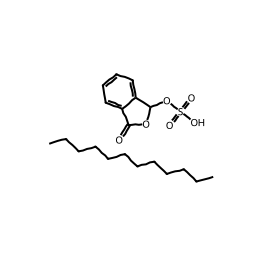 CCCCCCCCCCCC.O=C1OC(OS(=O)(=O)O)c2ccccc21